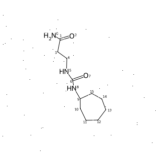 NC(=O)CCNC(=O)NC1CCCCCC1